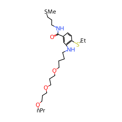 CCCOCCCOCCCOCCCCNc1cc(C(=O)NCCCSC)ccc1SCC